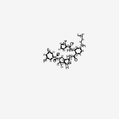 CN(C)CCN(C)c1ccc(C(=O)Nc2n[nH]c3c2CN(S(=O)(=O)c2cc(F)cc(F)c2)C3(C)C)c(NC(=O)c2cccn2C)c1